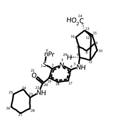 CCCSc1nc(N[C@H]2C3CC4CC2C[C@](C(=O)O)(C4)C3)ccc1C(=O)NC1CCCCC1